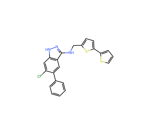 Clc1cc2[nH]nc(NCc3ccc(-c4cccs4)s3)c2cc1-c1ccccc1